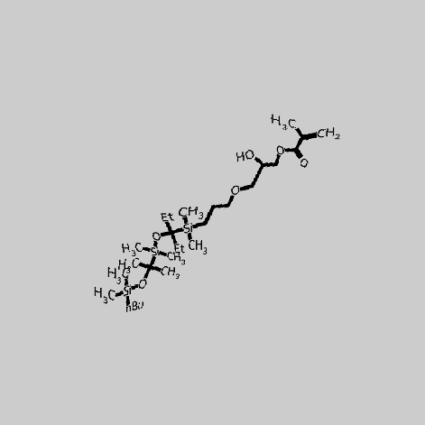 C=C(C)C(=O)OCC(O)COCCC[Si](C)(C)C(CC)(CC)O[Si](C)(C)C(C)(C)O[Si](C)(C)CCCC